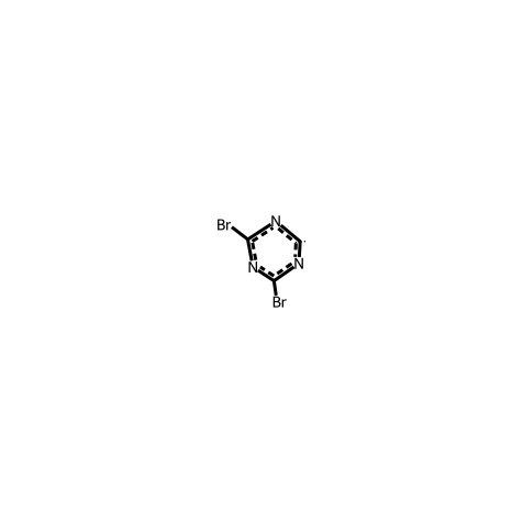 Brc1n[c]nc(Br)n1